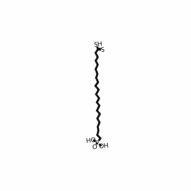 O=P(O)(O)CCCCCCCCCCCCCCCCCCCCCCC(=S)S